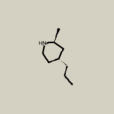 CCC[C@@H]1CCN[C@@H](C)C1